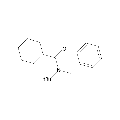 CC(C)(C)N(Cc1ccccc1)C(=O)C1CCCCC1